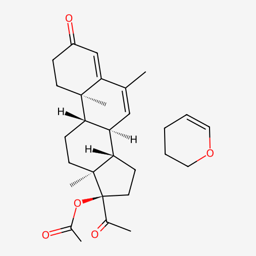 C1=COCCC1.CC(=O)O[C@]1(C(C)=O)CC[C@H]2[C@@H]3C=C(C)C4=CC(=O)CC[C@]4(C)[C@H]3CC[C@@]21C